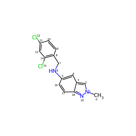 Cn1cc2cc(NCc3ccc(Cl)cc3Cl)ccc2n1